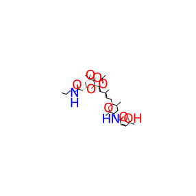 CCCNC(=O)C[C@@H]1C[C@@]2(CO2)[C@H](OC(C)=O)[C@@H](/C=C/C(C)=C/C[C@@H]2O[C@H](C)[C@H](NC(=O)/C=C\[C@H](C)O)C[C@@H]2C)O1